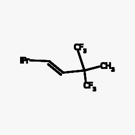 CC(C)/C=C/C(C)(C(F)(F)F)C(F)(F)F